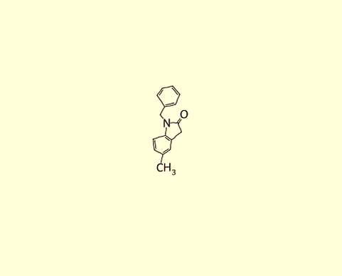 Cc1ccc2c(c1)CC(=O)N2Cc1ccccc1